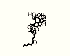 CCCCCC1OC1/C=C/C=C/C(=O)OC1C(C)C2(O)C(C3OC3(CO)C(O)C3(O)C(=O)C(C)=CC32)C2C(C)(C)C12OC(=O)C(C)CC